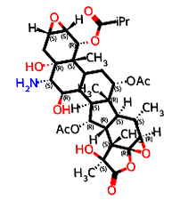 CC(=O)O[C@H]1[C@@H]2[C@H]([C@H](C)[C@H]3O[C@]34OC(=O)[C@@](C)(O)[C@]24C)[C@@]2(C)[C@@H](OC(C)=O)CC3C([C@@H](O)[C@H](N)[C@@]4(O)C[C@@H]5O[C@@H]5[C@H](OC(=O)C(C)C)[C@]34C)[C@H]12